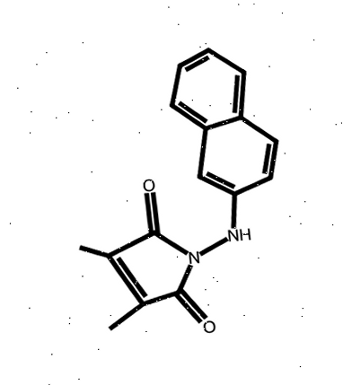 CC1=C(C)C(=O)N(Nc2ccc3ccccc3c2)C1=O